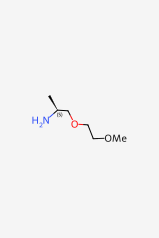 COCCOC[C@H](C)N